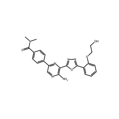 CN(C)C(=O)c1ccc(-c2cnc(N)c(-c3nnc(-c4ccccc4OCCO)o3)n2)cc1